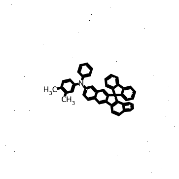 Cc1ccc(N(c2ccccc2)c2ccc3cc4c(cc3c2)C2(c3ccccc3-c3ccccc32)c2c-4ccc3ccccc23)cc1C